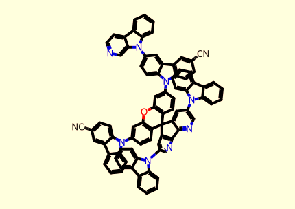 N#Cc1ccc2c(c1)c1ccccc1n2-c1ccc2c(c1)Oc1cc(-n3c4ccc(C#N)cc4c4cc(-n5c6ccccc6c6ccncc65)ccc43)ccc1C21c2cc(-n3c4ccccc4c4ccccc43)cnc2-c2ncc(-n3c4ccccc4c4ccccc43)cc21